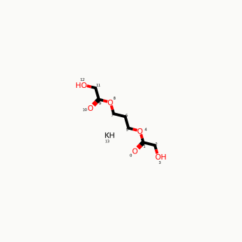 O=C(CO)OCCCOC(=O)CO.[KH]